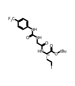 CC(C)(C)OC(=O)[C@H](CCI)NC(=O)CNC(=O)Nc1ccc(C(F)(F)F)cc1